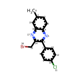 Cc1ccc2nc(-c3ccc(Cl)cc3)c(CBr)nc2c1